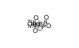 CC1N(c2ccccc2)c2nccnc2N1c1ccccc1C1C2(C)C3CC=CC=C3N3c4ccccc4N(c4ccccc4)C3C12C